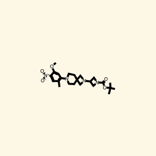 COc1cc(N2CCC3(CC2)CN(C2CN(C(=O)OC(C)(C)C)C2)C3)c(C)cc1[N+](=O)[O-]